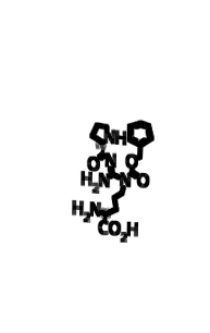 NC(=NC(=O)[C@@H]1CCCN1)N(CCC[C@H](N)C(=O)O)C(=O)OCc1ccccc1